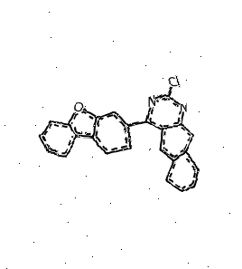 Clc1nc(-c2ccc3c(c2)oc2ccccc23)c2cc3ccccc3cc2n1